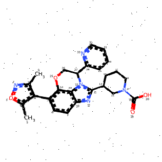 Cc1noc(C)c1-c1ccc2nc(C3CCCN(C(=O)O)C3)n3c2c1OCC3c1ccccn1